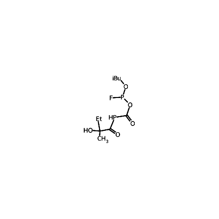 CCC(C)OP(F)OC(=O)PC(=O)C(C)(O)CC